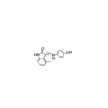 Cc1cccc2c1/C(=C\Nc1ccc(O)cc1)C(=O)N2